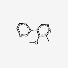 COc1c(-c2cccnc2)ccnc1C